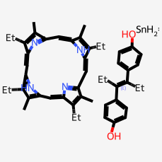 CC/C(=C(/CC)c1ccc(O)cc1)c1ccc(O)cc1.CCC1=C(C)c2cc3[nH]c(cc4nc(cc5[nH]c(cc1n2)c(C)c5CC)C(CC)=C4C)c(C)c3CC.[SnH2]